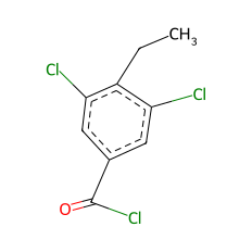 CCc1c(Cl)cc(C(=O)Cl)cc1Cl